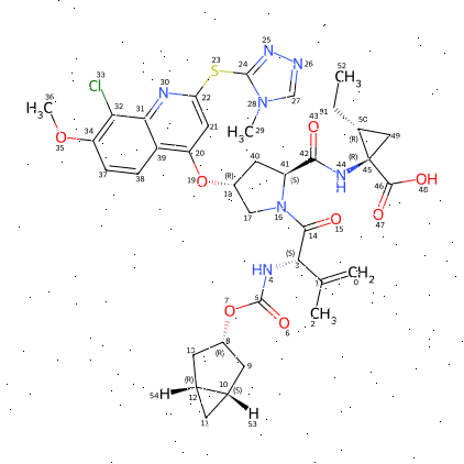 C=C(C)[C@H](NC(=O)O[C@@H]1C[C@@H]2C[C@@H]2C1)C(=O)N1C[C@H](Oc2cc(Sc3nncn3C)nc3c(Cl)c(OC)ccc23)C[C@H]1C(=O)N[C@]1(C(=O)O)C[C@H]1CC